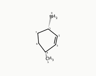 B[C@@H]1C=C[C@H](C)CC1